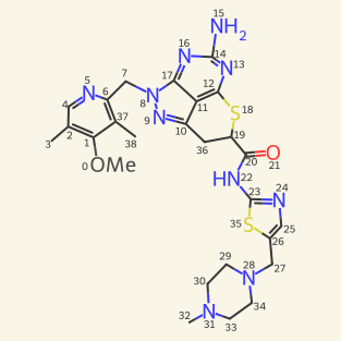 COc1c(C)cnc(Cn2nc3c4c(nc(N)nc42)SC(C(=O)Nc2ncc(CN4CCN(C)CC4)s2)C3)c1C